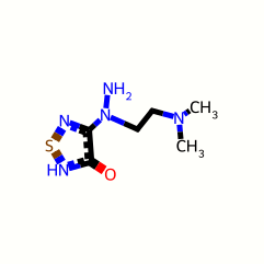 CN(C)CCN(N)c1ns[nH]c1=O